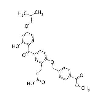 COC(=O)c1ccc(COc2ccc(C(=O)c3ccc(OCC(C)C)cc3O)cc2CCC(=O)O)cc1